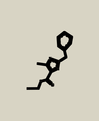 CCOC(=O)c1nn(Cc2ccccc2)nc1C